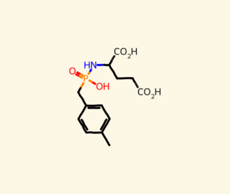 Cc1ccc(CP(=O)(O)NC(CCC(=O)O)C(=O)O)cc1